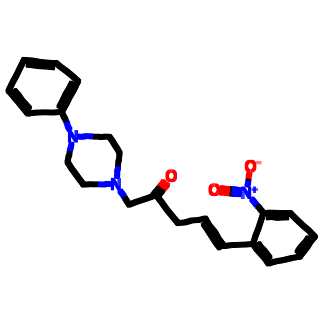 O=C(CC=Cc1ccccc1[N+](=O)[O-])CN1CCN(c2ccccc2)CC1